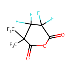 O=C1OC(=O)C(C(F)(F)F)(C(F)(F)F)C(F)(F)C1(F)F